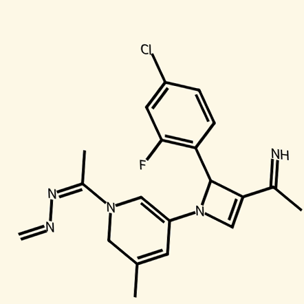 C=N/N=C(/C)N1C=C(N2C=C(C(C)=N)C2c2ccc(Cl)cc2F)C=C(C)C1